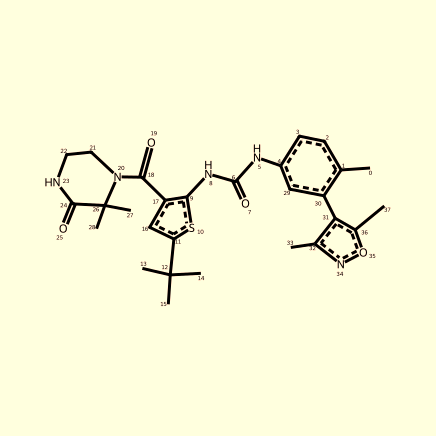 Cc1ccc(NC(=O)Nc2sc(C(C)(C)C)cc2C(=O)N2CCNC(=O)C2(C)C)cc1-c1c(C)noc1C